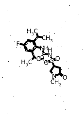 CC(C)c1cc(F)cc(C(C)C)c1NC(=O)NS(=O)(=O)C1CC(=O)N(C)C1